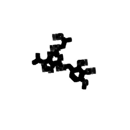 COc1ccc(CNc2nc(NCC(C)O)nc3c2nnn3C(C)C)c(O)c1O